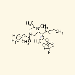 CCOC(=O)/C(=C(/C)OS(=O)(=O)C(F)(F)F)C1CN(C(=O)OC(C)(C)C)CC(C)N1C